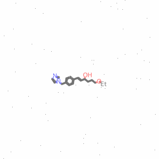 CCOCCCC(O)C=Cc1ccc(Cn2ccnc2)cc1